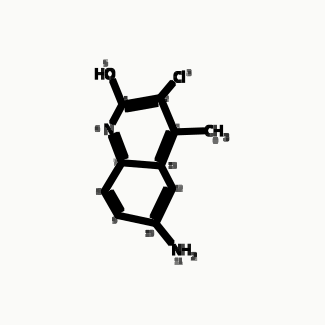 Cc1c(Cl)c(O)nc2ccc(N)cc12